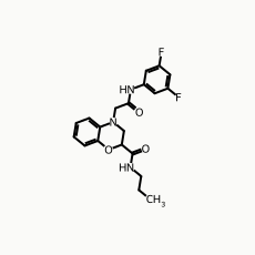 CCCNC(=O)C1CN(CC(=O)Nc2cc(F)cc(F)c2)c2ccccc2O1